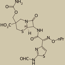 CCCON=C(C(=O)NC1C(=O)N2CC(COC(N)=O)(C(=O)O)CS[C@H]12)c1csc(NC=O)n1